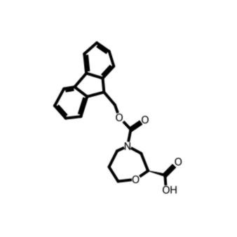 O=C(O)[C@@H]1CN(C(=O)OCC2c3ccccc3-c3ccccc32)CCCO1